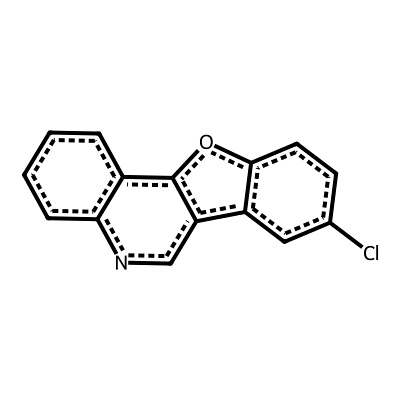 Clc1ccc2oc3c4ccccc4ncc3c2c1